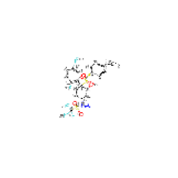 C=Cc1ccc(S(=O)(=O)[C@]2(c3cc(F)ccc3F)CC[C@H](NS(=O)(=O)C(F)(F)F)CC2)cc1